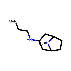 CNCCNC1CC2CCC(C1)N2C